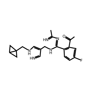 CC(=N)/N=C(\NC/C(C=N)=C/NCC12CC1C2)c1ccc(F)cc1C(C)=O